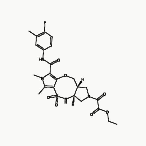 CCOC(=O)C(=O)N1C[C@H]2COc3c(c(C)n(C)c3C(=O)Nc3ccc(F)c(C)c3)S(=O)(=O)N[C@H]2C1